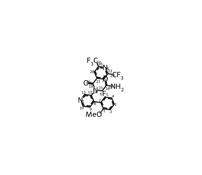 COc1cccc(F)c1-c1ccncc1N(CC(N)=O)C(=O)c1cc(C(F)(F)F)nc(C(F)(F)F)c1